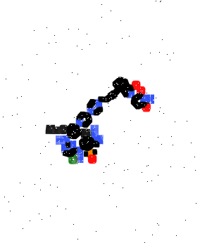 CCc1cc(Nc2ncc(Cl)c(Nc3ccc4[nH]ncc4c3P(C)(C)=O)n2)c(OC)cc1N1CCC(N2CCN(CCC#Cc3cccc4c3CN(C3CCC(=O)NC3=O)C4=O)CC2)CC1